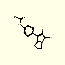 CCCC(=O)Nc1ccc(C2=C(Br)C(=O)C3CCCC23)cc1